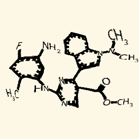 COC(=O)c1cnc(Nc2cc(N)c(F)cc2C)nc1-c1cn(N(C)C)c2ccccc12